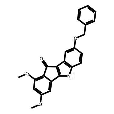 COc1cc(OC)c2c(c1)-c1[nH]c3ccc(OCc4ccccc4)cc3c1C2=O